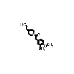 Bc1cc(CC(=O)N2CCC(CCO)CC2)ccc1OC